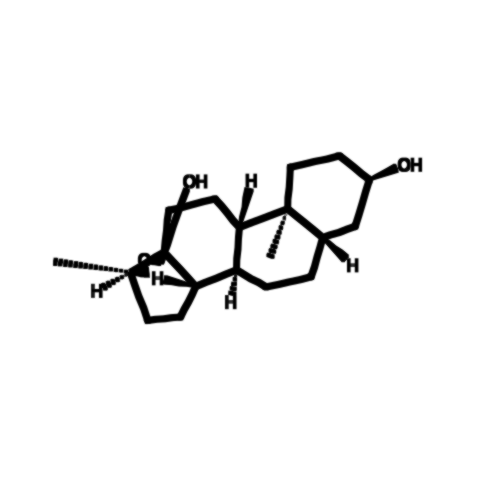 C[C@H]1OC(O)C23CC[C@H]4[C@@H](CC[C@H]5C[C@H](O)CC[C@@]54C)[C@@H]2CC[C@H]13